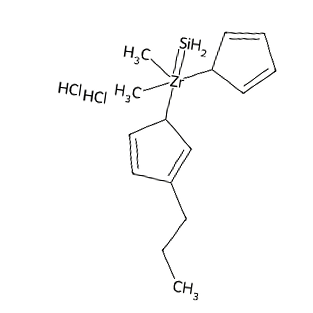 CCCC1=C[CH]([Zr]([CH3])([CH3])(=[SiH2])[CH]2C=CC=C2)C=C1.Cl.Cl